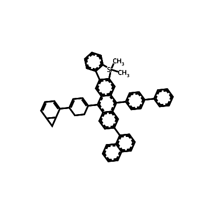 C[Si]1(C)c2ccccc2-c2cc3c(C4=CC=C(C5=CC=CC6CC56)CC4)c4ccc(-c5cccc6ccccc56)cc4c(-c4ccc(-c5ccccc5)cc4)c3cc21